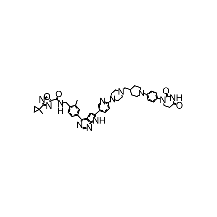 Cc1cc(-c2ncnc3[nH]c(-c4ccc(N5CCN(CC6CCN(c7ccc(N8CCC(=O)NC8=O)cc7)CC6)CC5)nc4)cc23)ccc1CNC(=O)c1nc(C2(C)CC2)no1